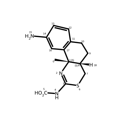 C[C@]12N=C(NC(=O)O)SC[C@H]1CCc1ccc(N)cc12